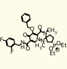 CCOP(=O)(OCC)[C@H]1CCC2(C1)N(C)C(=O)c1c(OCc3ccccc3)c(=O)c(C(=O)NCc3ccc(F)cc3F)cn1N2C